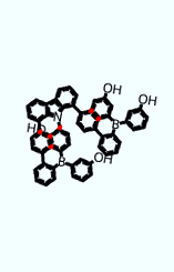 Cn1c2c(-c3ccc(-c4ccccc4B(c4cccc(O)c4)c4cccc(O)c4)cc3)cccc2c2cccc(-c3ccc(-c4ccccc4B(c4cccc(O)c4)c4cccc(O)c4)cc3)c21